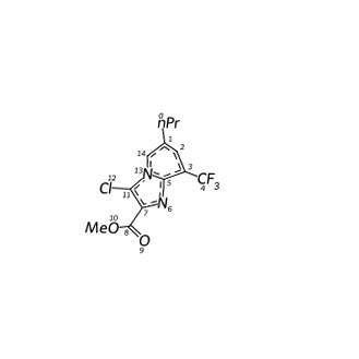 CCCc1cc(C(F)(F)F)c2nc(C(=O)OC)c(Cl)n2c1